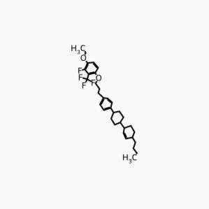 CCCCC1C=CC(C2CCC(c3ccc(CCCOc4ccc(OCC)c(F)c4C(F)(F)F)cc3)CC2)CC1